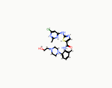 Cc1nc(Cl)cc(Nc2ncc(C(=O)Nc3c(C)cccc3N3CCN(CCO)CC3)s2)n1